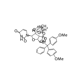 COc1ccc(C(OC[C@H]2O[C@@H](n3ccc(=O)[nH]c3=O)[C@H](OC(C)(C)C)[C@@]2(O)P(=O)(O)O[SiH](C)C)(c2ccccc2)c2ccc(OC)cc2)cc1